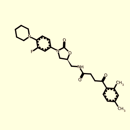 Cc1ccc(C(=O)CCC(=O)NC[C@H]2CN(c3ccc(N4CCCCC4)c(F)c3)C(=O)O2)c(C)c1